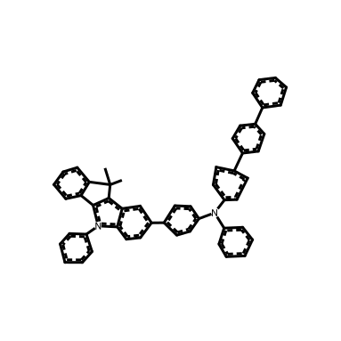 CC1(C)c2ccccc2-c2c1c1cc(-c3ccc(N(c4ccccc4)c4ccc(-c5ccc(-c6ccccc6)cc5)cc4)cc3)ccc1n2-c1ccccc1